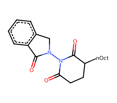 CCCCCCCCC1CCC(=O)N(N2Cc3ccccc3C2=O)C1=O